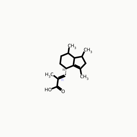 CC1=C2C(C(C)CC[C@H]2/C=C(\C)C(=O)O)C(C)C1